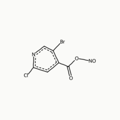 O=NOC(=O)c1cc(Cl)ncc1Br